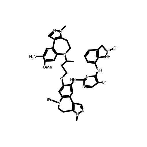 COc1cc2c(cc1N)-c1cnn(C)c1CCN2C(C)CCOc1cc2c(cc1Nc1ncc(Br)c(Nc3cccc4c3N[S+]([O-])C4)n1)-c1cnn(C)c1CCN2C(C)C